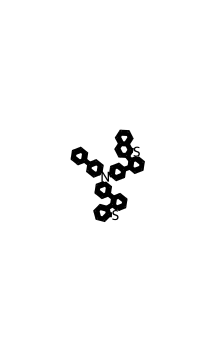 c1ccc(-c2ccc(N(c3ccc(-c4cccc5sc6c7ccccc7ccc6c45)cc3)c3cccc(-c4cccc5sc6ccccc6c45)c3)cc2)cc1